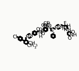 CC1(C)CCC(c2ccc(Cl)cc2)=C(CN2CCN(c3ccc(C(=O)NS(=O)(=O)c4ccc(N[C@H](CCN5CCN(Cc6nnc(NC7CCC(=O)NC7=O)cc6F)CC5)CSc5ccccc5)c(S(=O)(=O)C(F)(F)F)c4)cc3)CC2)C1